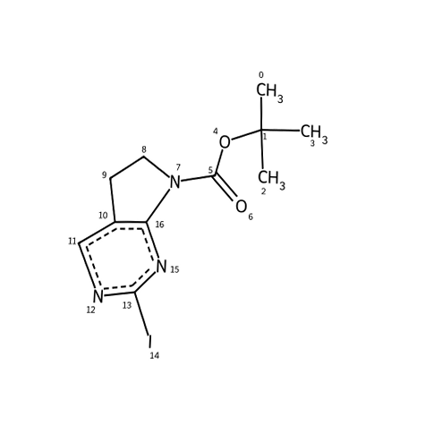 CC(C)(C)OC(=O)N1CCc2cnc(I)nc21